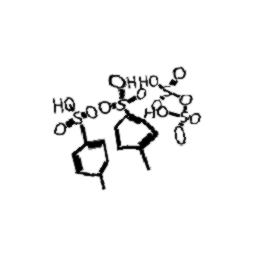 Cc1ccc(S(=O)(=O)O)cc1.Cc1ccc(S(=O)(=O)O)cc1.O=S(=O)(O)OS(=O)(=O)O